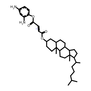 CC(C)CCCC(C)C1CCC2C3CCC4CC(OC(=O)/C=C/C(=O)Oc5ccc(N)cc5N)CCC4(C)C3CCC12C